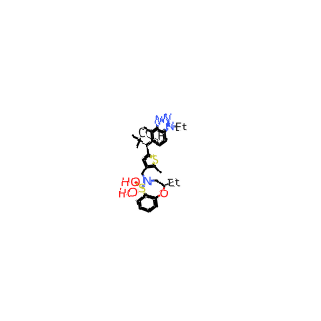 CC[C@@H]1CN(Cc2cc([C@H](c3ccc4c(nnn4CC)c3C)C(C)(C)C(=O)O)sc2C)S(O)(O)c2ccccc2O1